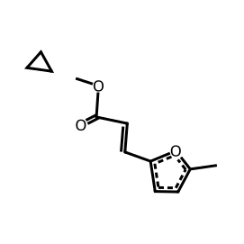 C1CC1.COC(=O)C=Cc1ccc(C)o1